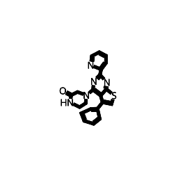 O=C1CN(c2nc(-c3ccccn3)nc3scc(-c4ccccc4)c23)CCN1